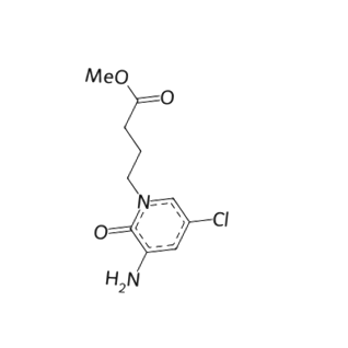 COC(=O)CCCn1cc(Cl)cc(N)c1=O